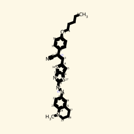 CCCCCOc1ccc(/C(C#N)=C/c2cc3sc(/N=N/c4ccc5c(c4)CCCN5C)nc3s2)cc1